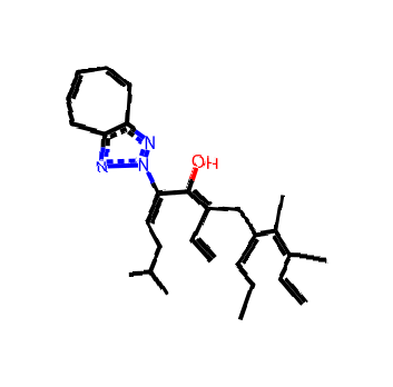 C=C/C(C)=C(C)\C(=C/CC)C/C(C=C)=C(O)/C(=C\CC(C)C)n1nc2c(n1)CC=CC=C2